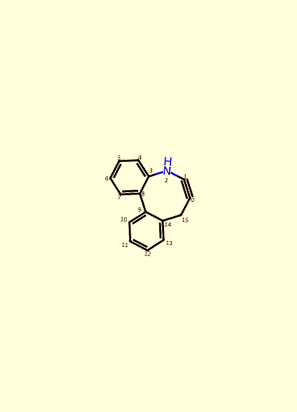 C1#CNc2ccccc2-c2ccccc2C1